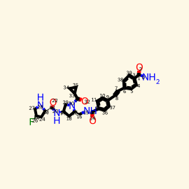 NC(=O)c1ccc(C#Cc2ccc(C(=O)NC[C@H]3C[C@@H](NC(=O)[C@@H]4C[C@H](F)CN4)CN3C(=O)C3CC3)cc2)cc1